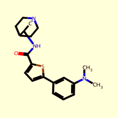 CN(C)c1cccc(-c2ccc(C(=O)NC3CN4CCC3CC4)s2)c1